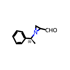 C[C@@H](c1ccccc1)N1CC1C=O